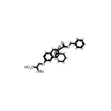 CCCCC(COc1ccc2c(c1)[C@@]13CCCC[C@H]1[C@@H](C2)N(C(=O)OCc1ccccc1)CC3)C(=O)O